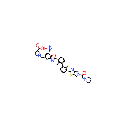 Cc1c(-c2nc3cc(CN4CC[C@@](C)(C(=O)O)C4)cc(C#N)c3o2)cccc1-c1cccc(-c2nc3c(s2)CN(C(=O)CN2CCCC2)C3)c1C